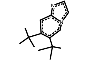 CC(C)(C)c1cc2nccn2cc1C(C)(C)C